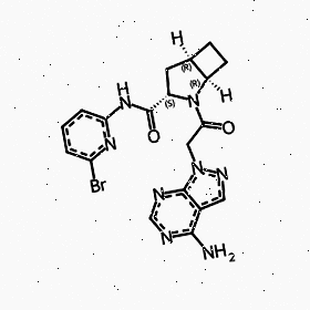 Nc1ncnc2c1cnn2CC(=O)N1[C@@H]2CC[C@@H]2C[C@H]1C(=O)Nc1cccc(Br)n1